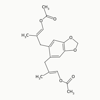 CC(=O)OC=C(C)Cc1cc2c(cc1CC(C)=COC(C)=O)OCO2